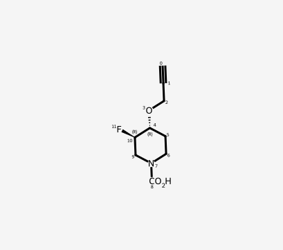 C#CCO[C@@H]1CCN(C(=O)O)C[C@H]1F